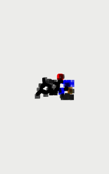 CCCCn1c([Se]c2cc(C)cc(C)c2)c(C(C)C)c(=O)[nH]c1=S